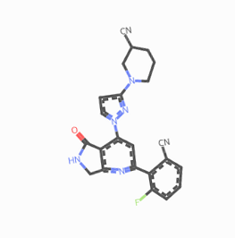 N#Cc1cccc(F)c1-c1cc(-n2ccc(N3CCCC(C#N)C3)n2)c2c(n1)CNC2=O